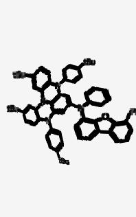 CC(C)c1cccc2c1oc1c(N(c3ccccc3)c3cc4c5c(c3)N(c3ccc(C(C)(C)C)cc3)c3ccc(C(C)(C)C)cc3B5c3cc(C(C)(C)C)ccc3N4c3ccc(C(C)(C)C)cc3)cccc12